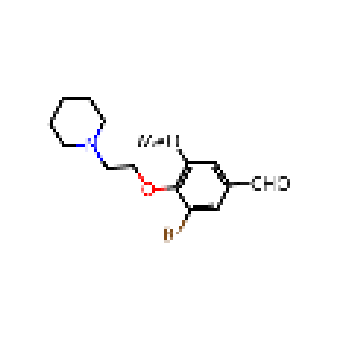 COc1cc(C=O)cc(Br)c1OCCN1CCCCC1